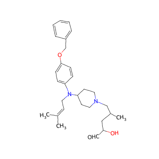 CC(C)=CCN(c1ccc(OCc2ccccc2)cc1)C1CCN(CC(C)CC(O)C=O)CC1